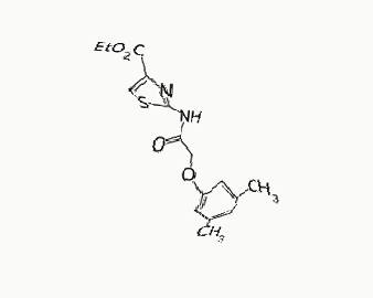 CCOC(=O)c1csc(NC(=O)COc2cc(C)cc(C)c2)n1